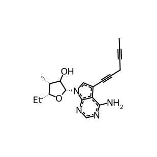 CC#CCC#Cc1cn([C@@H]2O[C@H](CC)[C@H](C)C2O)c2ncnc(N)c12